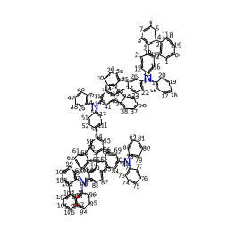 c1ccc(-c2ccccc2-c2ccc(N(c3ccccc3)c3ccc4c(c3)-c3ccccc3C43c4ccccc4-c4cc(N(c5ccccc5)c5ccc(-c6ccc7c(c6)-c6ccccc6C76c7ccc(N(c8ccccc8)c8ccccc8)cc7-c7ccc(N(c8ccccc8)c8ccccc8-c8ccccc8)cc76)cc5)ccc43)cc2)cc1